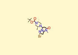 C[C@@H]1CN(c2cc(=O)n(C)c3cc(Br)nn23)[C@@H](C)CN1C(=O)OC(C)(C)C